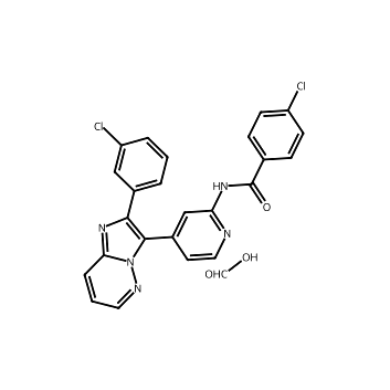 O=C(Nc1cc(-c2c(-c3cccc(Cl)c3)nc3cccnn23)ccn1)c1ccc(Cl)cc1.O=CO